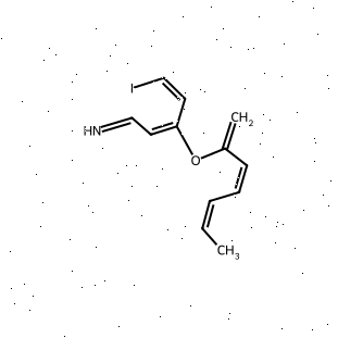 C=C(/C=C\C=C/C)OC(/C=C\I)=C/C=N